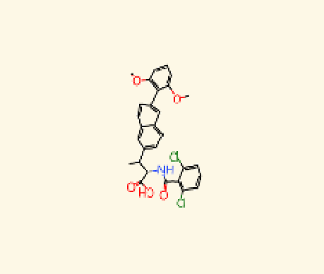 COc1cccc(OC)c1-c1ccc2cc(C(C)C(NC(=O)c3c(Cl)cccc3Cl)C(=O)O)ccc2c1